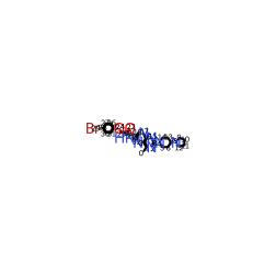 Cc1nc(N2CCC(N3CCCC3)CC2)nc2ncc(NC(=O)COc3ccc(Br)cc3)nc12